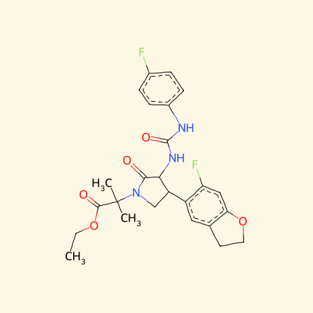 CCOC(=O)C(C)(C)N1CC(c2cc3c(cc2F)OCC3)C(NC(=O)Nc2ccc(F)cc2)C1=O